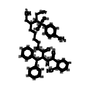 CC(C)CN(C(CO)CCCCNC(=O)C(NC(=O)c1ccccc1O)C(c1ccccc1)c1ccccc1)S(=O)(=O)c1ccc(N)cc1